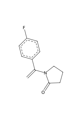 C=C(c1ccc(F)cc1)N1CCCC1=O